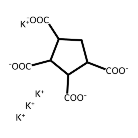 O=C([O-])C1CC(C(=O)[O-])C(C(=O)[O-])C1C(=O)[O-].[K+].[K+].[K+].[K+]